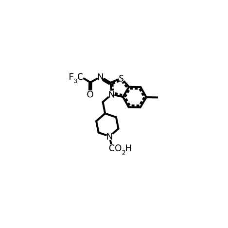 Cc1ccc2c(c1)s/c(=N/C(=O)C(F)(F)F)n2CC1CCN(C(=O)O)CC1